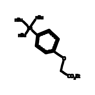 CCC[CH2][Sn]([CH2]CCC)([CH2]CCC)[c]1ccc(OCC(=O)OCC)cc1